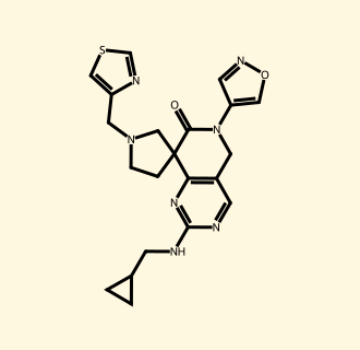 O=C1N(c2cnoc2)Cc2cnc(NCC3CC3)nc2C12CCN(Cc1cscn1)C2